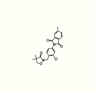 Cc1ccc2c(c1)C(=O)N(c1ccc(CN3OCC(C)(C)C3=O)c(Cl)c1)C2=O